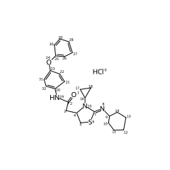 Cl.O=C(CC1CS/C(=N\C2CCCCC2)N1C1CC1)Nc1ccc(Oc2ccccc2)cc1